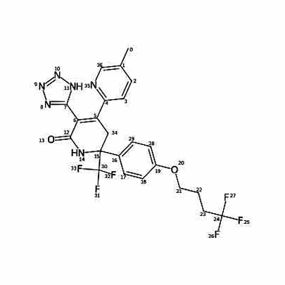 Cc1ccc(C2=C(c3nnn[nH]3)C(=O)NC(c3ccc(OCCCC(F)(F)F)cc3)(C(F)(F)F)C2)nc1